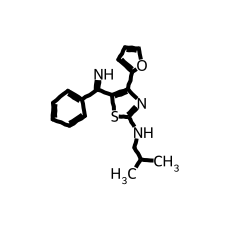 CC(C)CNc1nc(-c2ccco2)c(C(=N)c2ccccc2)s1